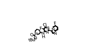 CC(C)(C)OC(=O)N1CCCC(Nc2nc(-c3cnc4ccc(F)cn34)nc(Cl)c2F)C1